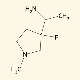 CC(N)C1(F)CCN(C)C1